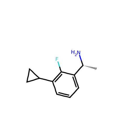 C[C@@H](N)c1cccc(C2CC2)c1F